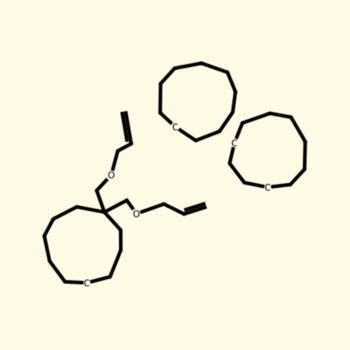 C1CCCCCCCCC1.C1CCCCCCCCC1.C=CCOCC1(COCC=C)CCCCCCCCC1